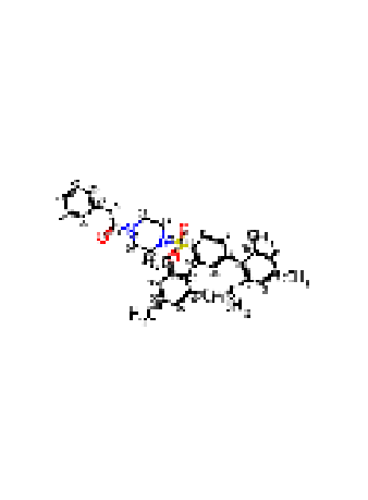 Cc1cc(C)c(-c2ccc(S(=O)(=O)N3CCN(C(=O)Cc4ccccc4)CC3)c(-c3c(C)cc(C)cc3C)c2)c(C)c1